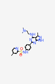 Cc1ccnc(S(=O)(=O)Nc2ccc(-c3nc(NCCN(C)C)c4c(C)n[nH]c4n3)cc2)c1